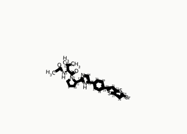 CC(=O)N[C@H](C(=O)N1CCCC1c1ncc(-c2ccc(-c3cc4sc(Br)cc4s3)cc2)[nH]1)C(C)C